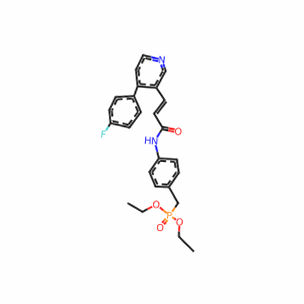 CCOP(=O)(Cc1ccc(NC(=O)/C=C/c2cnccc2-c2ccc(F)cc2)cc1)OCC